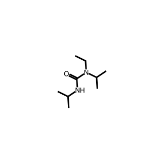 CCN(C(=O)NC(C)C)C(C)C